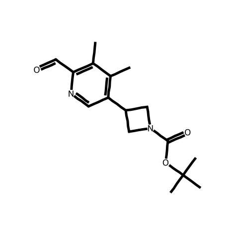 Cc1c(C2CN(C(=O)OC(C)(C)C)C2)cnc(C=O)c1C